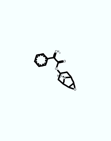 C=C(C(=O)OC1CC2C3OC3C(C1)N2C)c1ccccc1